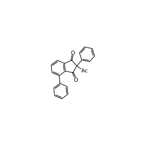 CC(=O)C1(c2ccccc2)C(=O)c2cccc(-c3ccccc3)c2C1=O